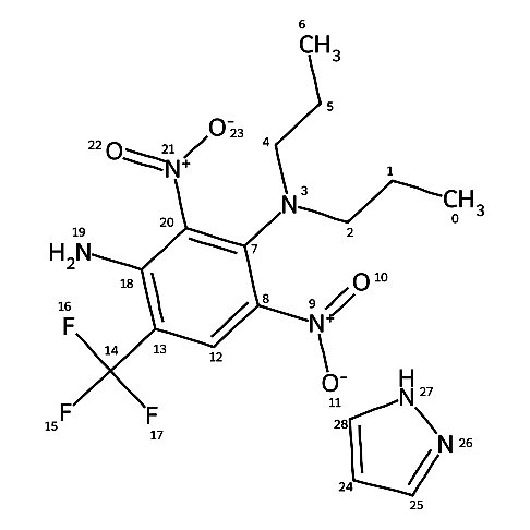 CCCN(CCC)c1c([N+](=O)[O-])cc(C(F)(F)F)c(N)c1[N+](=O)[O-].c1cn[nH]c1